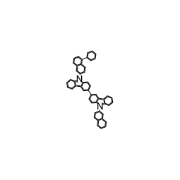 c1ccc(-c2cccc3cc(-n4c5ccccc5c5cc(-c6ccc7c(c6)c6ccccc6n7-c6ccc7ccccc7c6)ccc54)ccc23)cc1